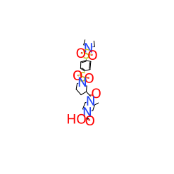 CCN(CC)S(=O)(=O)c1ccc(S(=O)(=O)N2CCCC(C(=O)N3CCN(C(=O)O)CC3C)C2)cc1